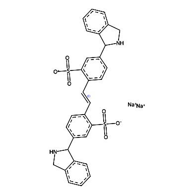 O=S(=O)([O-])c1cc(C2NCc3ccccc32)ccc1/C=C/c1ccc(C2NCc3ccccc32)cc1S(=O)(=O)[O-].[Na+].[Na+]